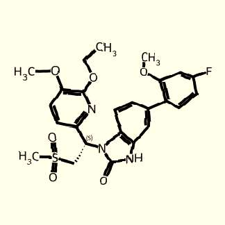 CCOc1nc([C@@H](CS(C)(=O)=O)n2c(=O)[nH]c3cc(-c4ccc(F)cc4OC)ccc32)ccc1OC